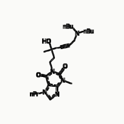 CCCCN(CC#CC(C)(O)CCn1c(=O)c2c(ncn2CCC)n(C)c1=O)CCCC